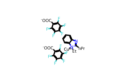 CCCC1=Nc2ccccc2[N+]1([Cu+2])CC.O=C([O-])c1c(F)c(F)c(F)c(F)c1F.O=C([O-])c1c(F)c(F)c(F)c(F)c1F